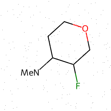 CNC1CCOCC1F